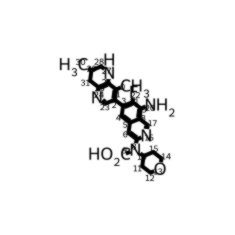 Cc1c(-c2cc3cc(N(C(=O)O)C4CCOCC4)ncc3c(N)c2F)cnc2c1NCC(C)C2